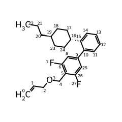 C=CCOCc1c(F)cc(-c2ccccc2[C@H]2CC[C@H](CCC)CC2)cc1F